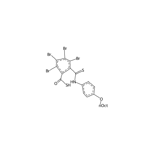 CCCCCCCCOc1ccc(NC(=S)c2c(Br)c(Br)c(Br)c(Br)c2C(=O)S)cc1